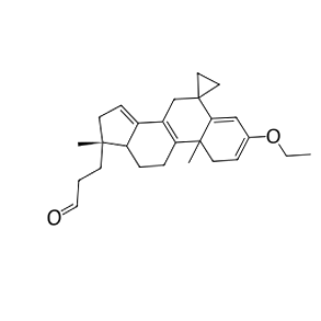 CCOC1=CCC2(C)C(=C1)C1(CC1)CC1=C2CCC2C1=CC[C@@]2(C)CCC=O